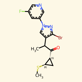 CS[C@@H]1C[C@H]1C(=O)C(C)c1cn(-c2cncc(F)c2)nc1Br